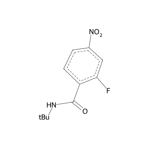 CC(C)(C)NC(=O)c1ccc([N+](=O)[O-])cc1F